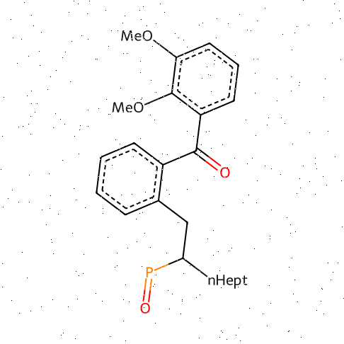 CCCCCCCC(Cc1ccccc1C(=O)c1cccc(OC)c1OC)P=O